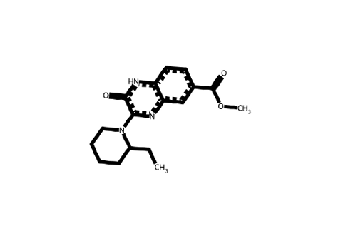 CCC1CCCCN1c1nc2cc(C(=O)OC)ccc2[nH]c1=O